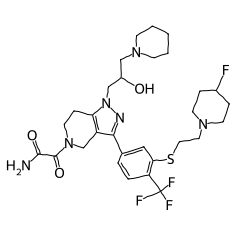 NC(=O)C(=O)N1CCc2c(c(-c3ccc(C(F)(F)F)c(SCCN4CCC(F)CC4)c3)nn2CC(O)CN2CCCCC2)C1